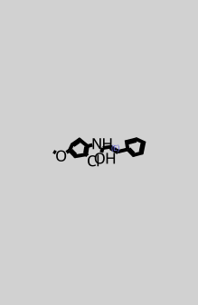 COc1ccc(NC(O)/C=C/c2ccccc2)c(Cl)c1